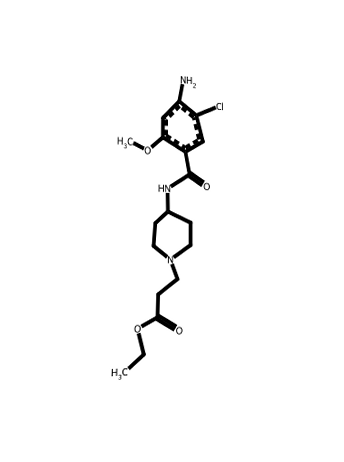 CCOC(=O)CCN1CCC(NC(=O)c2cc(Cl)c(N)cc2OC)CC1